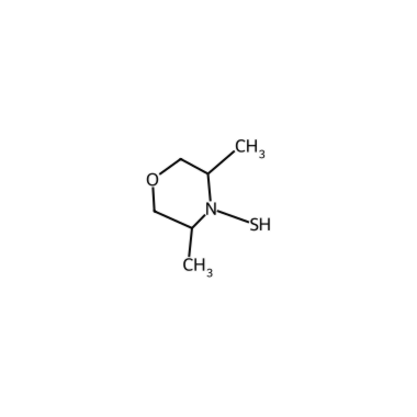 CC1COCC(C)N1S